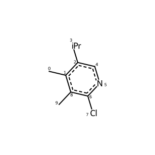 Cc1c(C(C)C)cnc(Cl)c1C